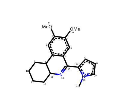 COc1cc2c(cc1OC)C1CCCCC1N=C2c1cccn1C